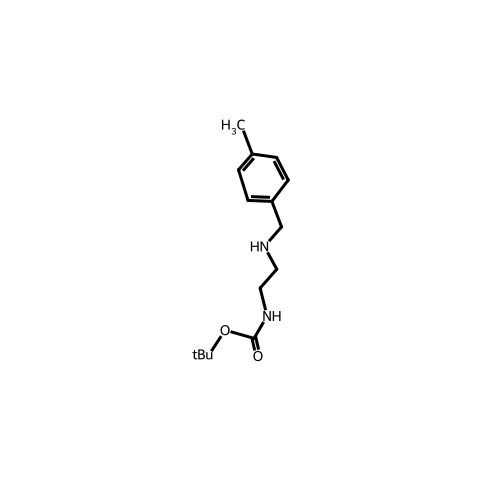 Cc1ccc(CNCCNC(=O)OC(C)(C)C)cc1